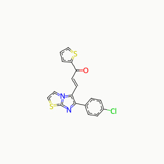 O=C(C=Cc1c(-c2ccc(Cl)cc2)nc2sccn12)c1cccs1